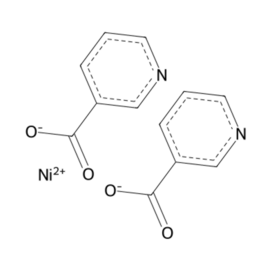 O=C([O-])c1cccnc1.O=C([O-])c1cccnc1.[Ni+2]